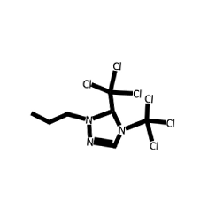 CCCN1N=CN(C(Cl)(Cl)Cl)C1C(Cl)(Cl)Cl